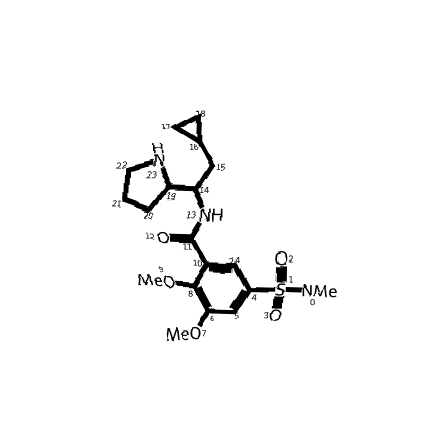 CNS(=O)(=O)c1cc(OC)c(OC)c(C(=O)NC(CC2CC2)C2CCCN2)c1